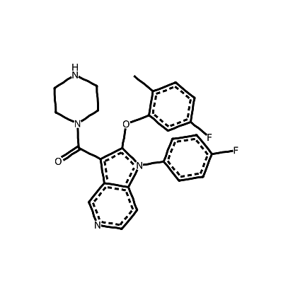 Cc1ccc(F)cc1Oc1c(C(=O)N2CCNCC2)c2cnccc2n1-c1ccc(F)cc1